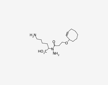 NCCCCC(C(=O)O)N(N)C(=O)CCOC1C#CCCCCC1